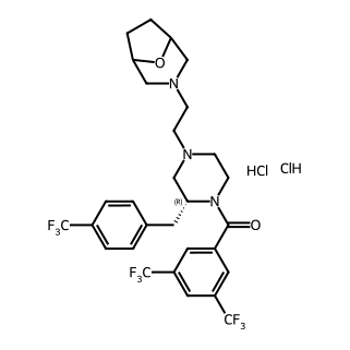 Cl.Cl.O=C(c1cc(C(F)(F)F)cc(C(F)(F)F)c1)N1CCN(CCN2CC3CCC(C2)O3)C[C@H]1Cc1ccc(C(F)(F)F)cc1